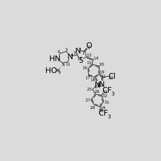 O=C1N=C(N2CCN[C@@H](CO)C2)S/C1=C\c1ccc2c(c1)c(Cl)nn2Cc1ccc(C(F)(F)F)cc1C(F)(F)F